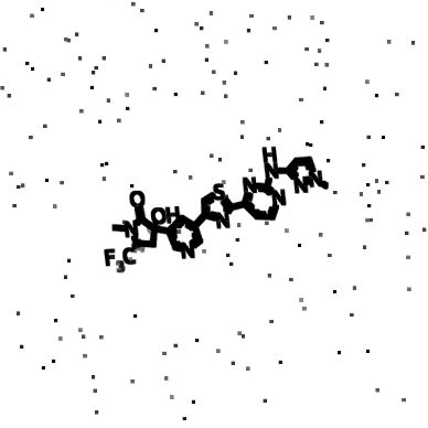 CN1C(=O)[C@@](O)(c2cncc(-c3csc(-c4ccnc(Nc5ccn(C)n5)n4)n3)c2)C[C@@H]1C(F)(F)F